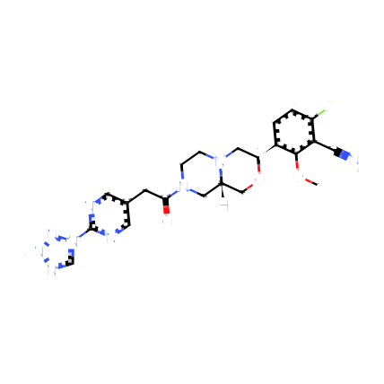 COc1c([C@@H]2CN3CCN(C(=O)Cc4cnc(-n5cnnn5)nc4)C[C@H]3CO2)ccc(F)c1C#N